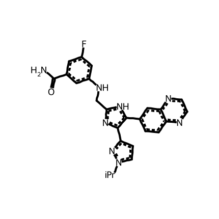 CC(C)n1ccc(-c2nc(CNc3cc(F)cc(C(N)=O)c3)[nH]c2-c2ccc3nccnc3c2)n1